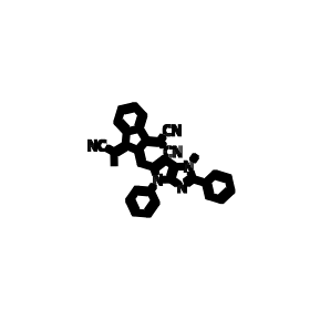 C/C(C#N)=C1\C(=C\c2cc3c(nc(-c4ccccc4)n3C)n2-c2ccccc2)C(=C(C#N)C#N)c2ccccc21